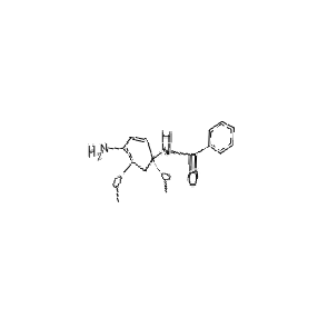 COC1=C(N)C=CC(NC(=O)c2ccccc2)(OC)C1